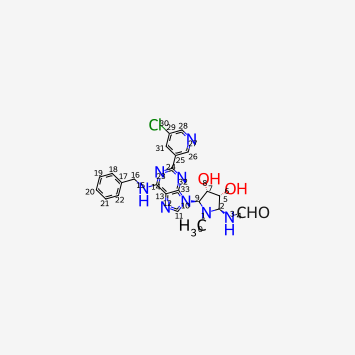 CN1[C@H](NC=O)[C@@H](O)[C@@H](O)[C@@H]1n1cnc2c(NCc3ccccc3)nc(-c3cncc(Cl)c3)nc21